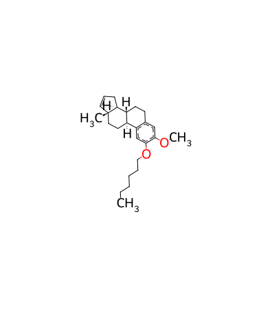 CCCCCCOc1cc2c(cc1OC)CC[C@@H]1[C@@H]2CC[C@]2(C)C=CC[C@@H]12